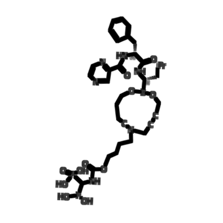 CC(C)C[C@@H](NC(=O)[C@@H](Cc1ccccc1)NC(=O)c1cnccn1)B1OCCCCN(CCCCOC(=O)NC(P(O)O)P(=O)(O)O)CCCCO1